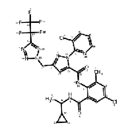 Cc1cc(Cl)cc(C(=O)NC(C)C2CC2)c1NC(=O)c1cc(Cn2nnc(C(F)(F)C(F)(F)F)n2)nn1-c1ncccc1Cl